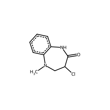 CN1CC(Cl)C(=O)Nc2ccccc21